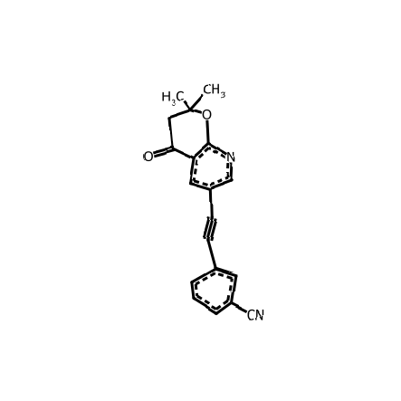 CC1(C)CC(=O)c2cc(C#Cc3cccc(C#N)c3)cnc2O1